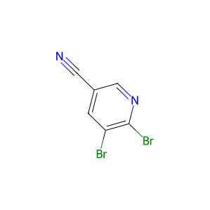 N#Cc1cnc(Br)c(Br)c1